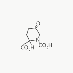 CC1(C(=O)O)CCC(=O)CN1C(=O)O